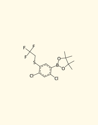 CC1(C)OB(c2cc(SCC(F)(F)F)c(Cl)cc2Cl)OC1(C)C